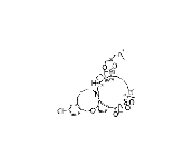 C[C@@H]1[C@@H](C)CCC[C@H]([C@@H]2OC[C@@H](CN(C)C)O2)[C@@H]2CC[C@H]2CN2CCCCc3cc(Cl)ccc3COc3ccc(cc32)C(=O)NS1(=O)=O